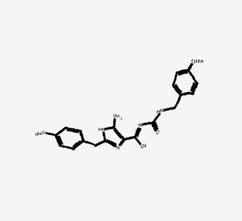 COc1ccc(CNC(=O)/N=C(\C#N)c2nc(Cc3ccc(OC)cc3)[nH]c2N)cc1